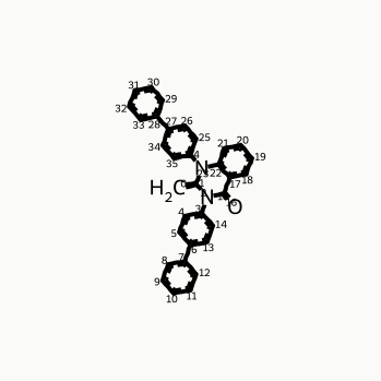 C=C1N(c2ccc(-c3ccccc3)cc2)C(=O)c2ccccc2N1c1ccc(-c2ccccc2)cc1